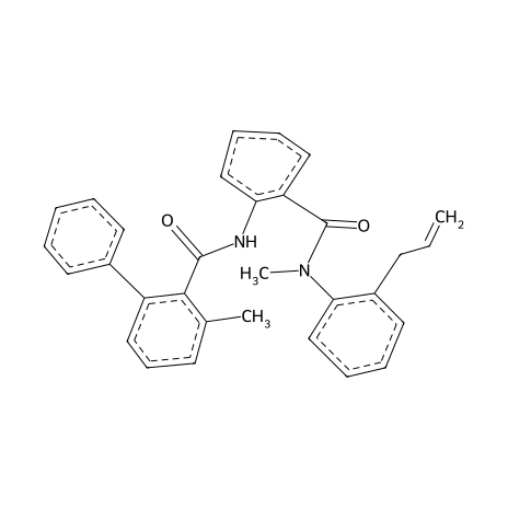 C=CCc1ccccc1N(C)C(=O)c1ccccc1NC(=O)c1c(C)cccc1-c1ccccc1